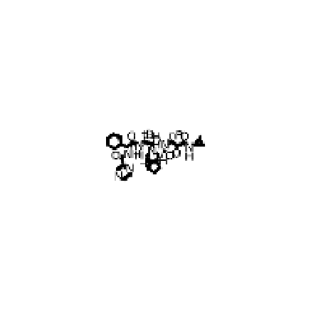 CCC[C@H](NC(=O)[C@@H]1[C@@H]2CCC[C@@H]2CN1C(=O)[C@H](NC(=O)[C@H](NC(=O)c1cnccn1)C1CCCCC1)C(C)(C)C)C(=O)C(=O)NC1CC1